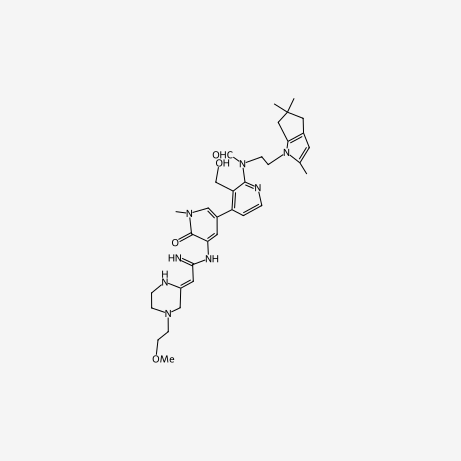 COCCN1CCN/C(=C\C(=N)Nc2cc(-c3ccnc(N(C=O)CCn4c(C)cc5c4CC(C)(C)C5)c3CO)cn(C)c2=O)C1